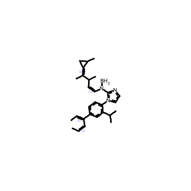 BN(/C=C\C(C)/C(C)=C1/CC1C)c1nccn1-c1ccc(C(/C=C\C)=C/C)cc1C(C)C